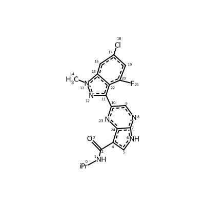 CC(C)NC(=O)c1c[nH]c2ncc(-c3nn(C)c4cc(Cl)cc(F)c34)nc12